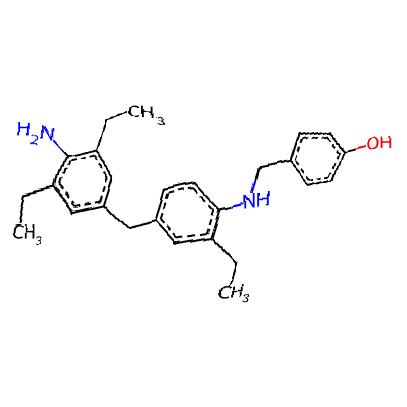 CCc1cc(Cc2cc(CC)c(N)c(CC)c2)ccc1NCc1ccc(O)cc1